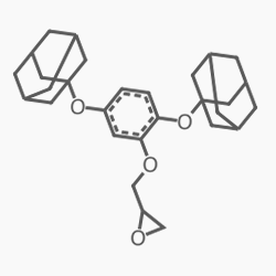 c1cc(OC23CC4CC(CC(C4)C2)C3)c(OCC2CO2)cc1OC12CC3CC(CC(C3)C1)C2